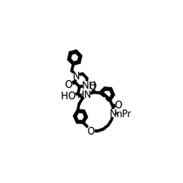 CCCN1CCCCOc2ccc(cc2)CC(C(O)C2NCCN(Cc3ccccc3)C2=O)NC(=O)c2cccc(c2)C1=O